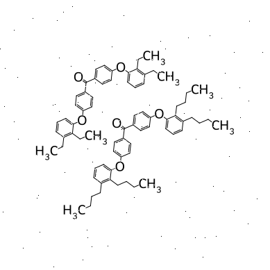 CCCCc1cccc(Oc2ccc(C(=O)c3ccc(Oc4cccc(CCCC)c4CCCC)cc3)cc2)c1CCCC.CCc1cccc(Oc2ccc(C(=O)c3ccc(Oc4cccc(CC)c4CC)cc3)cc2)c1CC